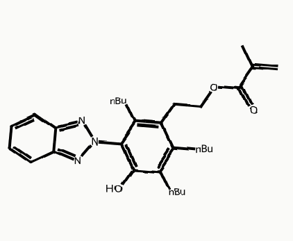 C=C(C)C(=O)OCCc1c(CCCC)c(CCCC)c(O)c(-n2nc3ccccc3n2)c1CCCC